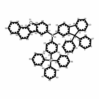 c1ccc(C2(c3ccccc3)c3ccccc3-c3ccc(N(c4ccc([Si](c5ccccc5)(c5ccccc5)c5ccccc5)cc4)c4ccc5oc6c7ccccc7ccc6c5c4)cc32)cc1